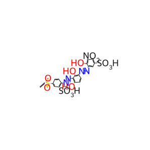 C=CS(=O)(=O)c1ccc(/N=N/c2c(O)ccc(/N=N/c3cc(S(=O)(=O)O)cc([N+](=O)[O-])c3O)c2O)c(S(=O)(=O)O)c1